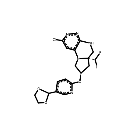 FC(F)[C@@]12CNc3nnc(Cl)cc3N1C[C@H](Oc1ccc(C3OCCO3)cn1)C2